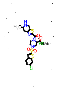 CNC(=O)C1CN(S(=O)(=O)c2cc3ccc(Cl)cc3s2)CCN1C(=O)c1nc2c(s1)CNC(C)C2.Cl